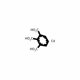 O=C(O)c1cccc(C(=O)O)c1C(=O)O.[Cd]